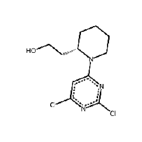 OCC[C@@H]1CCCCN1c1cc(Cl)nc(Cl)n1